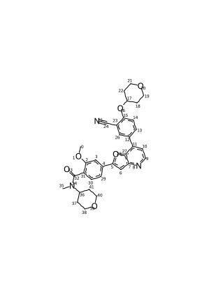 COc1cc(-c2cc3nccc(-c4ccc(OC5CCOCC5)c(C#N)c4)c3o2)ccc1C(=O)N(C)C1CCOCC1